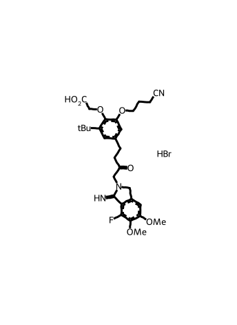 Br.COc1cc2c(c(F)c1OC)C(=N)N(CC(=O)CCc1cc(OCCCC#N)c(OCC(=O)O)c(C(C)(C)C)c1)C2